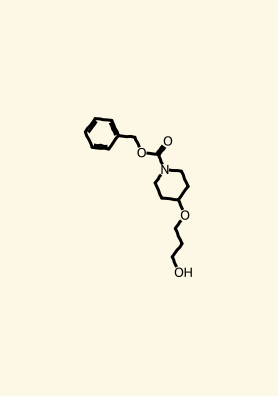 O=C(OCc1ccccc1)N1CCC(OCCCO)CC1